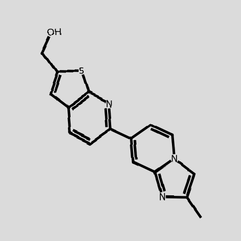 Cc1cn2ccc(-c3ccc4cc(CO)sc4n3)cc2n1